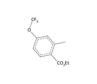 CCOC(=O)c1ccc(OC(F)(F)F)cc1C